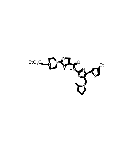 CCOC(=O)CN1CCN(c2ncc(C(=O)Nc3nc(-c4cc(CC)cs4)c(CN4CCCC4C)s3)n2C)CC1